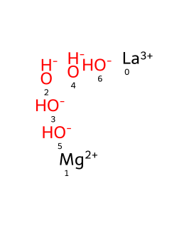 [La+3].[Mg+2].[OH-].[OH-].[OH-].[OH-].[OH-]